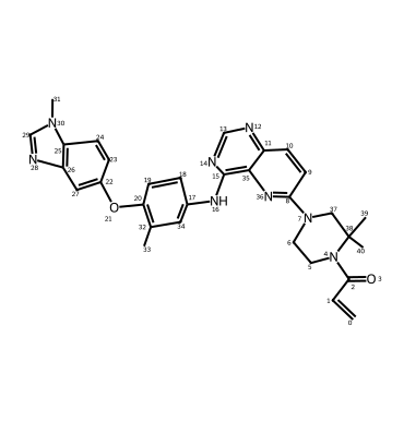 C=CC(=O)N1CCN(c2ccc3ncnc(Nc4ccc(Oc5ccc6c(c5)ncn6C)c(C)c4)c3n2)CC1(C)C